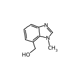 Cn1cnc2cccc(CO)c21